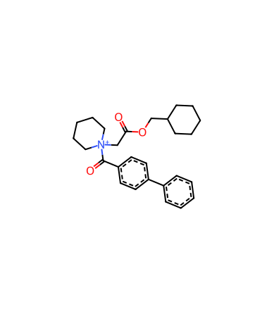 O=C(C[N+]1(C(=O)c2ccc(-c3ccccc3)cc2)CCCCC1)OCC1CCCCC1